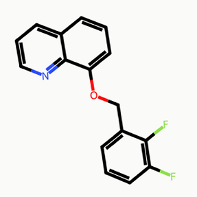 Fc1cccc(COc2cccc3cccnc23)c1F